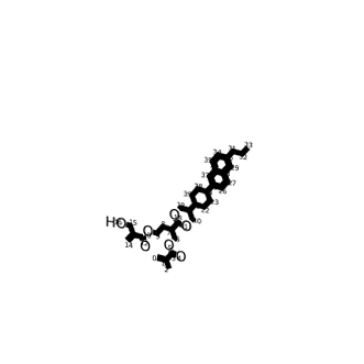 C=C(C)C(=O)OCC(CCOC(=O)C(=C)CO)C1OCC(C2CCC(c3ccc4cc(CCC)ccc4c3)CC2)CO1